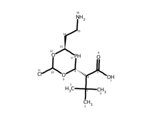 CC(C)(C)C(C(=O)O)[C@@H]1OC(Cl)O[C@@H](CCN)P1